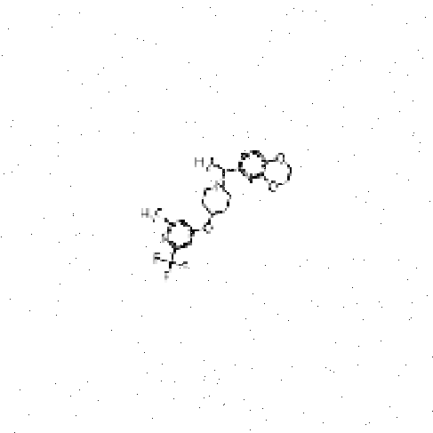 Cc1cc(OC2CCN(C(C)c3ccc4c(n3)OCCO4)CC2)cc(C(F)(F)F)n1